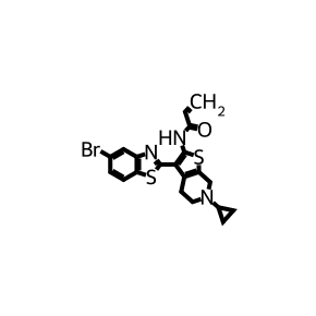 C=CC(=O)Nc1sc2c(c1-c1nc3cc(Br)ccc3s1)CCN(C1CC1)C2